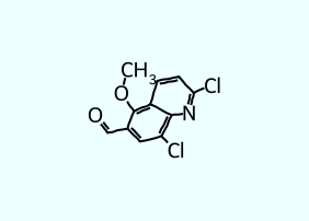 COc1c(C=O)cc(Cl)c2nc(Cl)ccc12